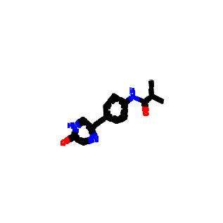 CC(C)C(=O)Nc1ccc(-c2c[nH]c(=O)cn2)cc1